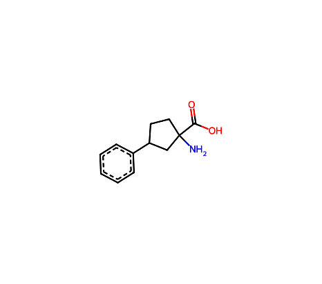 NC1(C(=O)O)CCC(c2ccccc2)C1